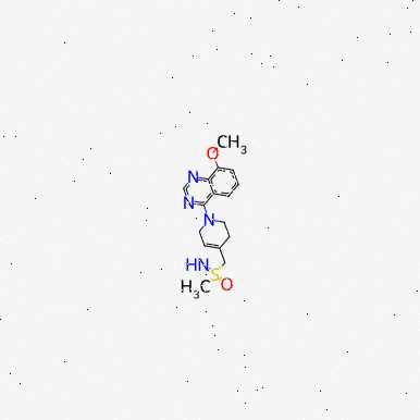 COc1cccc2c(N3CC=C(CS(C)(=N)=O)CC3)ncnc12